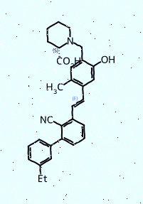 CCc1cccc(-c2cccc(/C=C/c3cc(O)c(CN4CCCC[C@H]4C(=O)O)cc3C)c2C#N)c1